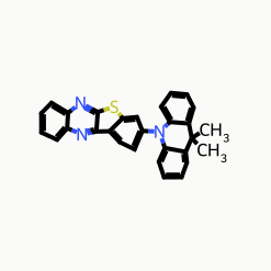 CC1(C)c2ccccc2N(c2ccc3c(c2)sc2nc4ccccc4nc23)c2ccccc21